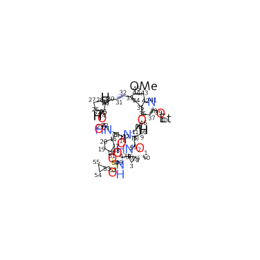 C=C[C@@H]1C[C@]1(NC(=O)[C@@H]1C[C@@H]2CN1C(=O)[C@H](C1CCCC1)NC(=O)O[C@@H]1CCC[C@@H]1C/C=C/c1cc3c(cc(OCC)nc3cc1OC)O2)C(=O)NS(=O)(=O)C1CC1